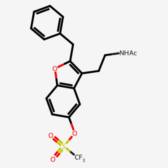 CC(=O)NCCc1c(Cc2ccccc2)oc2ccc(OS(=O)(=O)C(F)(F)F)cc12